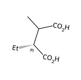 CC[C@@H](C(=O)O)C(C)C(=O)O